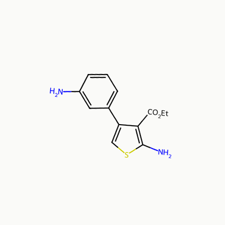 CCOC(=O)c1c(-c2cccc(N)c2)csc1N